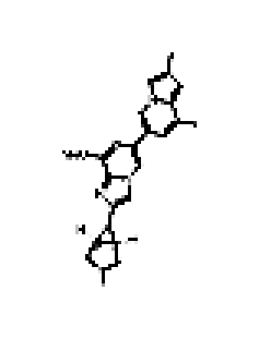 COc1cc(-c2cc(C)c3nc(C)cn3n2)cn2cc(C3[C@H]4CNC[C@@H]34)nc12